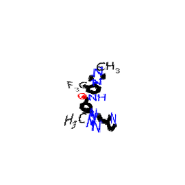 Cc1ccc(C(=O)Nc2ccc(N3CCN(C)CC3)c(C(F)(F)F)c2)cc1-n1cc(-c2cccnc2)nn1